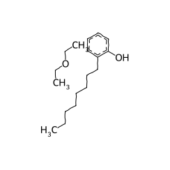 CCCCCCCCc1ccccc1O.CCOCC